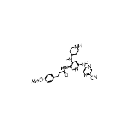 COc1ccc(CCC(=O)Nc2cnc(Nc3cnc(C#N)cn3)cc2N(C)C2CCNCC2)cc1